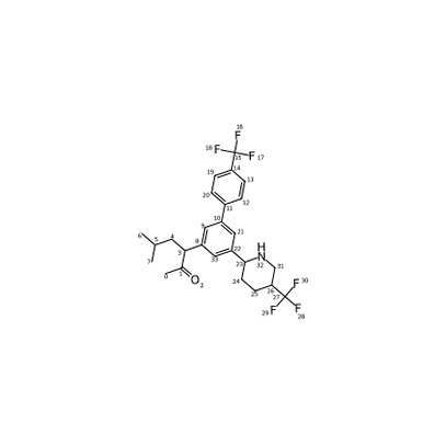 CC(=O)C(CC(C)C)c1cc(-c2ccc(C(F)(F)F)cc2)cc(C2CCC(C(F)(F)F)CN2)c1